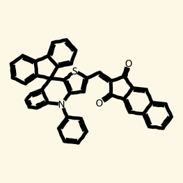 O=C1C(=Cc2cc3c(s2)C2(c4ccccc4-c4ccccc42)c2ccccc2N3c2ccccc2)C(=O)c2cc3ccccc3cc21